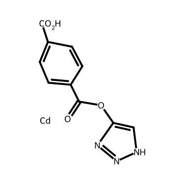 O=C(O)c1ccc(C(=O)Oc2c[nH]nn2)cc1.[Cd]